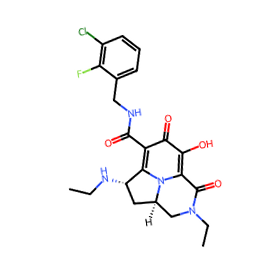 CCN[C@H]1C[C@@H]2CN(CC)C(=O)c3c(O)c(=O)c(C(=O)NCc4cccc(Cl)c4F)c1n32